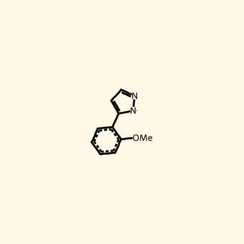 COc1ccccc1C1=CC=N[N]1